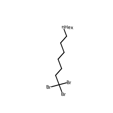 CCCCCCCCCCCCC(Br)(Br)Br